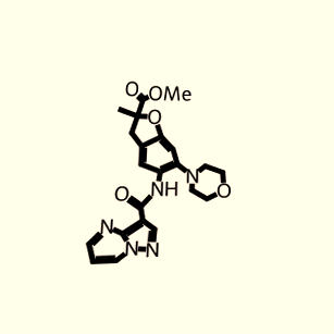 COC(=O)C1(C)Cc2cc(NC(=O)c3cnn4cccnc34)c(N3CCOCC3)cc2O1